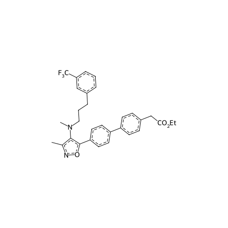 CCOC(=O)Cc1ccc(-c2ccc(-c3onc(C)c3N(C)CCCc3cccc(C(F)(F)F)c3)cc2)cc1